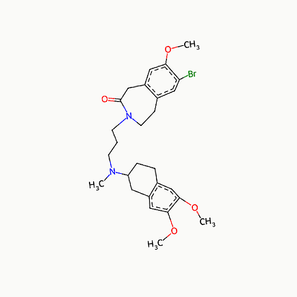 COc1cc2c(cc1Br)CCN(CCCN(C)C1CCc3cc(OC)c(OC)cc3C1)C(=O)C2